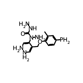 Cc1cc(P)ccc1OCC(=C/N)/C(=C\N)N(N)C(=O)NN